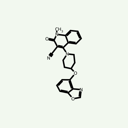 Cn1c(=O)c(C#N)c(N2CCC(Oc3cccc4ocnc34)CC2)c2ccccc21